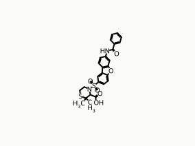 CC1(C)SCCN(S(=O)(=O)c2ccc3oc4cc(NC(=O)c5ccccc5)ccc4c3c2)C1C(=O)O